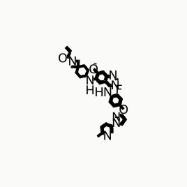 C=CC(=O)N1CC2(CCC(Nc3cc4c(Nc5ccc(Oc6ccn(-c7ccc(C)nc7)n6)cc5F)ncnc4cc3OC)CC2)C1